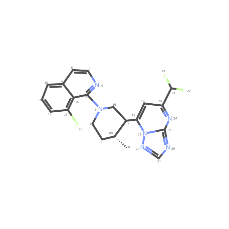 C[C@@H]1CCN(c2nccc3cccc(F)c23)CC1c1cc(C(F)F)nc2ncnn12